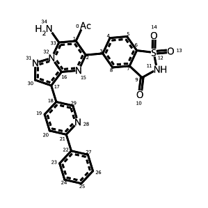 CC(=O)c1c(-c2ccc3c(c2)C(=O)NS3(=O)=O)nc2c(-c3ccc(-c4ccccc4)nc3)cnn2c1N